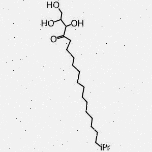 CC(C)CCCCCCCCCCCCCCC(=O)C(O)C(O)CO